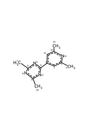 Cc1cc(-c2nc(C)nc(C)n2)cc(C)n1